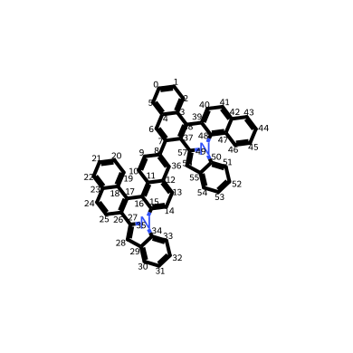 c1ccc2c(c1)cc(-c1ccc3c(ccc4c3c3c5ccccc5ccc3c3cc5ccccc5n34)c1)c1c2c2ccc3ccccc3c2n2c3ccccc3cc12